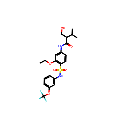 CCOc1cc(NC(=O)C(CO)C(C)C)ccc1S(=O)(=O)Nc1cccc(OC(F)(F)F)c1